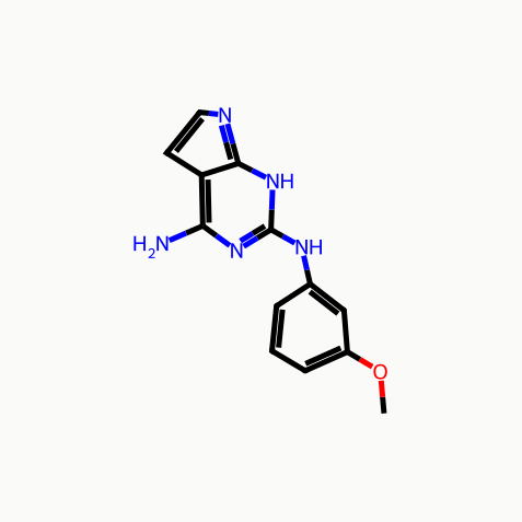 COc1cccc(Nc2nc(N)c3ccnc-3[nH]2)c1